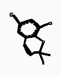 CC1(C)C=[C]c2cc(Cl)cc(Cl)c2O1